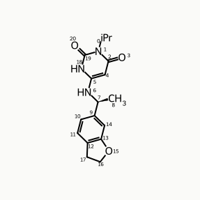 CC(C)n1c(=O)cc(N[C@@H](C)c2ccc3c(c2)OCC3)[nH]c1=O